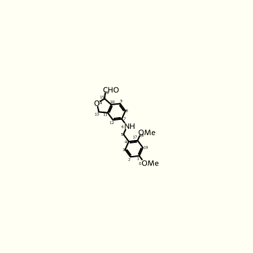 COc1ccc(CNc2ccc3c(c2)COC3C=O)c(OC)c1